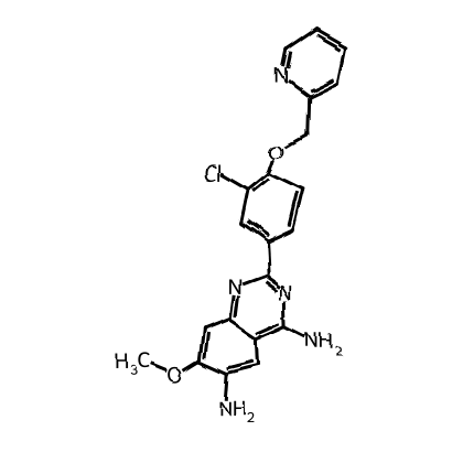 COc1cc2nc(-c3ccc(OCc4ccccn4)c(Cl)c3)nc(N)c2cc1N